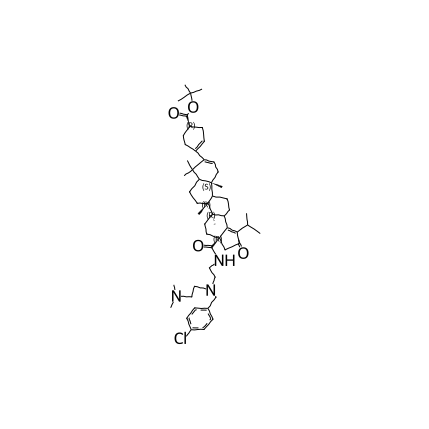 CC(C)C1=C2C3CCC4[C@@]5(C)CC=C(C6=CC[C@H](C(=O)OC(C)(C)C)CC6)C(C)(C)C5CC[C@@]4(C)[C@]3(C)CC[C@@]2(C(=O)NCCN(CCN(C)C)Cc2ccc(Cl)cc2)CC1=O